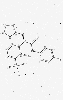 Cc1cnc(NC(=O)[C@H](CC2CCCC2)n2cccc(C(F)(F)F)c2=O)cn1